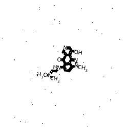 CN(C)CCNc1ccc2c3c(nn2C)-c2c(O)cncc2C(=O)c13